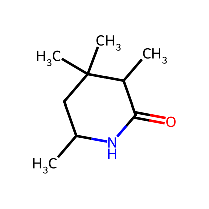 CC1CC(C)(C)C(C)C(=O)N1